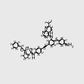 CC(C)c1ccc2c(Nc3cc(C#Cc4ccc(NC(=O)[C@@H]5CCCN5C(=O)OCc5ccccc5)cc4)ccc3Sc3ccc(N)cc3)ncnc2n1